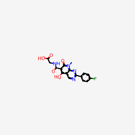 Cn1c(=O)c(C(=O)NCC(=O)O)c(O)c2cnc(-c3ccc(F)cc3)nc21